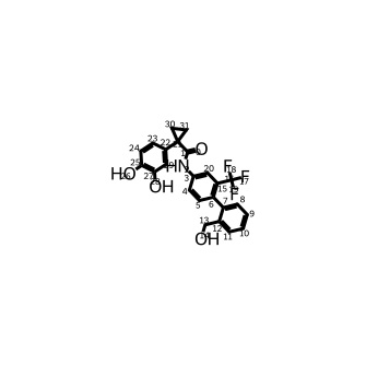 O=C(Nc1ccc(-c2ccccc2CO)c(C(F)(F)F)c1)C1(c2ccc(O)c(O)c2)CC1